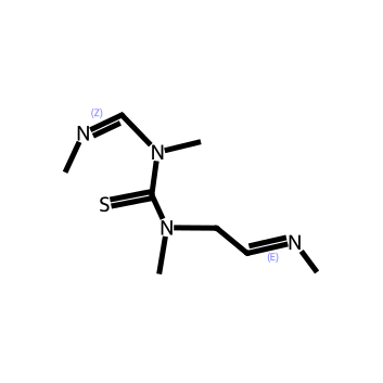 C/N=C\N(C)C(=S)N(C)C/C=N/C